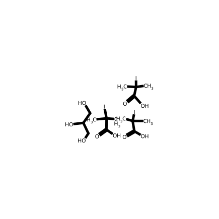 CC(C)(I)C(=O)O.CC(C)(I)C(=O)O.CC(C)(I)C(=O)O.OCC(O)CO